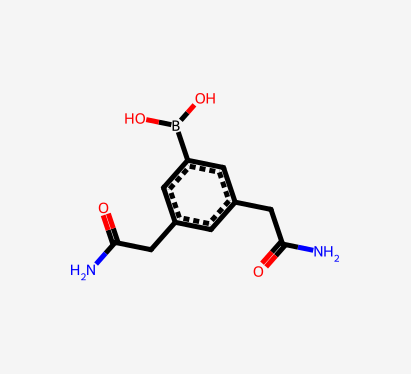 NC(=O)Cc1cc(CC(N)=O)cc(B(O)O)c1